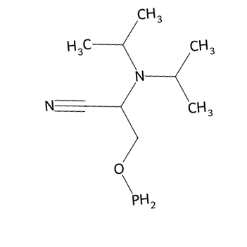 CC(C)N(C(C)C)C(C#N)COP